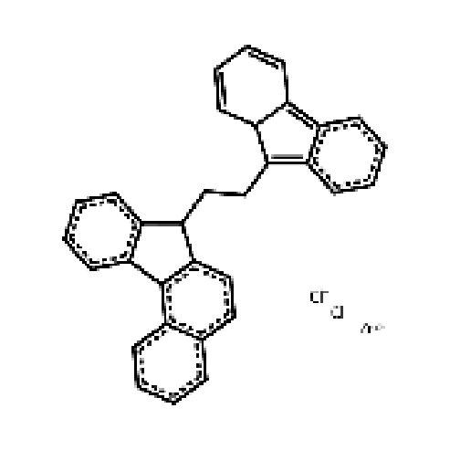 C1=CC2=c3ccccc3=C(CCC3c4ccccc4-c4c3ccc3ccccc43)C2C=C1.[Cl-].[Cl-].[Zr+2]